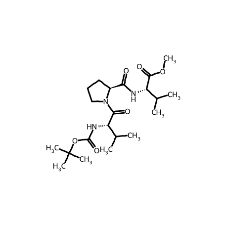 COC(=O)[C@@H](NC(=O)[C@@H]1CCCN1C(=O)[C@@H](NC(=O)OC(C)(C)C)C(C)C)C(C)C